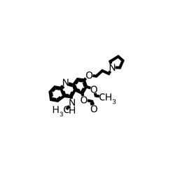 CCOc1c(OCCCN2CCCC2)cc2nc3ccccc3c(NC)c2c1OC=O